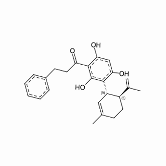 C=C(C)[C@H]1CCC(C)=C[C@@H]1c1c(O)cc(O)c(C(=O)CCc2ccccc2)c1O